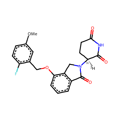 [2H][C@]1(N2Cc3c(OCc4cc(OC)ccc4F)cccc3C2=O)CCC(=O)NC1=O